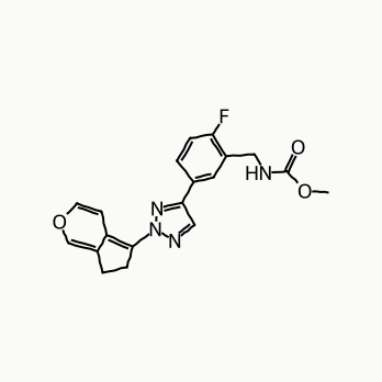 COC(=O)NCc1cc(-c2cnn(C3=C4C=COC=C4CC3)n2)ccc1F